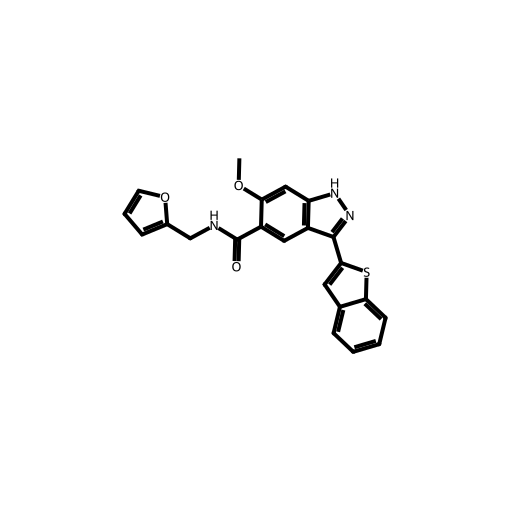 COc1cc2[nH]nc(-c3cc4ccccc4s3)c2cc1C(=O)NCc1ccco1